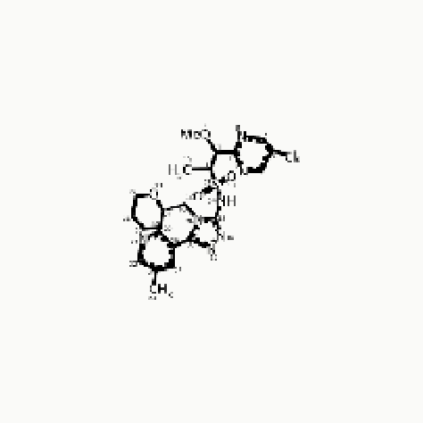 COC(c1ncc(Cl)cn1)C(C)S(=O)(=O)Nc1nnc(-c2cncc(C)c2)n1C[C@H]1CCCCO1